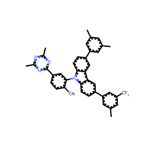 Cc1cc(C)cc(-c2ccc3c(c2)c2cc(-c4cc(C)cc(C(F)(F)F)c4)ccc2n3-c2cc(-c3nc(C)nc(C)n3)ccc2C#N)c1